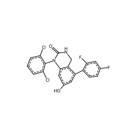 O=C1NCc2c(-c3ccc(F)cc3F)cc(O)cc2N1c1c(Cl)cccc1Cl